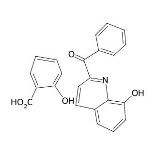 O=C(O)c1ccccc1O.O=C(c1ccccc1)c1ccc2cccc(O)c2n1